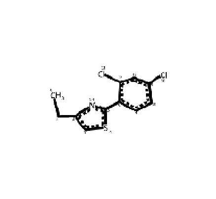 CCc1csc(-c2ccc(Cl)cc2Cl)n1